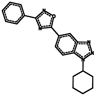 c1ccc(-c2noc(-c3ccc4c(c3)nnn4C3CCCCC3)n2)cc1